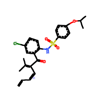 C=C/C=C\C(C(=O)c1cc(Cl)ccc1NS(=O)(=O)c1ccc(OC(C)C)cc1)=C(C)C